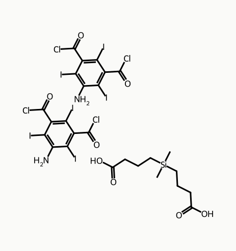 C[Si](C)(CCCC(=O)O)CCCC(=O)O.Nc1c(I)c(C(=O)Cl)c(I)c(C(=O)Cl)c1I.Nc1c(I)c(C(=O)Cl)c(I)c(C(=O)Cl)c1I